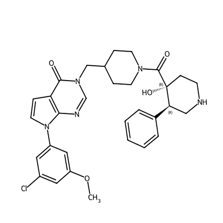 COc1cc(Cl)cc(-n2ccc3c(=O)n(CC4CCN(C(=O)[C@@]5(O)CCNC[C@H]5c5ccccc5)CC4)cnc32)c1